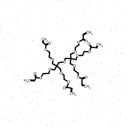 C=CC(=O)OCCOCC(COCCOC(=O)C=C)(COCCOC(=O)C=C)COCC(COCCOC(=O)C=C)(COCCOC(=O)C=C)COCCOC(=O)C=C